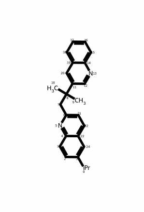 CC(C)c1ccc2nc(CC(C)(C)c3cnc4ccccc4c3)ccc2c1